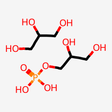 O=P(O)(O)OCC(O)CO.OCC(O)CO